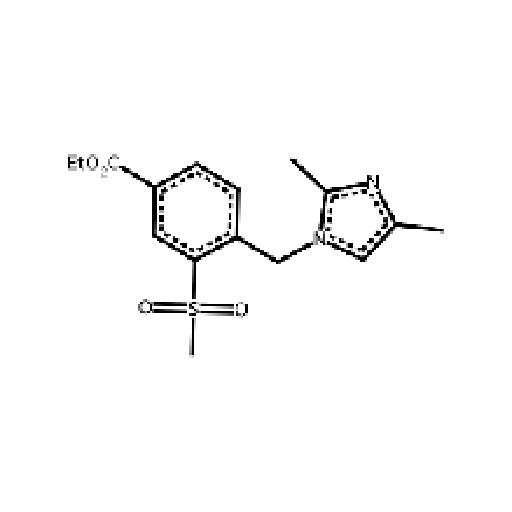 CCOC(=O)c1ccc(Cn2cc(C)nc2C)c(S(C)(=O)=O)c1